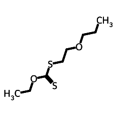 CCCOCCSC(=S)OCC